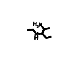 CCNC(CC)C(C)N